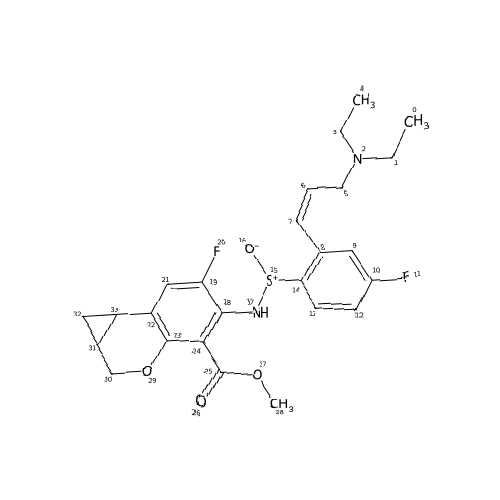 CCN(CC)C/C=C\c1cc(F)ccc1[S+]([O-])Nc1c(F)cc2c(c1C(=O)OC)OCC1CC21